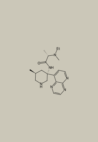 CCN(C)[C@@H](C)C(=O)N[C@]1(c2ccnc3nccnc23)CNC[C@@H](C)C1